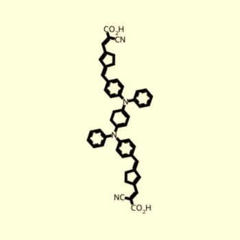 N#C/C(=C\C1=CC(=C/c2ccc(N(C3=CC=C(N(c4ccccc4)c4ccc(/C=C5C=C(/C=C(\C#N)C(=O)O)CC/5)cc4)CC3)c3ccccc3)cc2)/CC1)C(=O)O